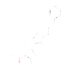 Cc1nc(-c2ccn(CCOc3ccccc3)n2)sc1C(=O)O